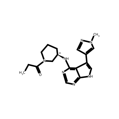 CCC(=O)N1CCC[C@@H](Nc2ncnc3[nH]cc(-c4cnn(C)c4)c23)C1